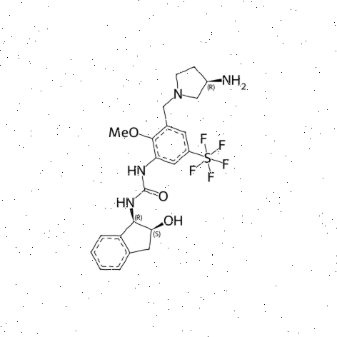 COc1c(CN2CC[C@@H](N)C2)cc(S(F)(F)(F)(F)F)cc1NC(=O)N[C@@H]1c2ccccc2C[C@@H]1O